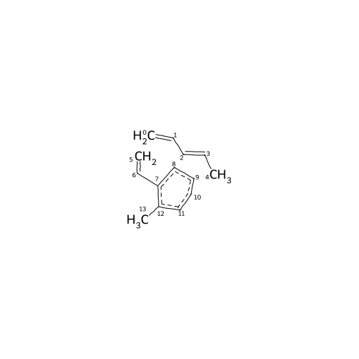 C=CC=CC.C=Cc1ccccc1C